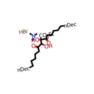 Br.CCCCCCCCCCCCCCCC(=O)C(O)C(O)(C(=O)CCCCCCCCCCCCCCC)C(=O)OCC.CN(C)C